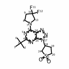 CC(C)(C)c1nc(N2CCC(F)(F)C2)c2nnn(C3CCS(=O)(=O)C3)c2n1